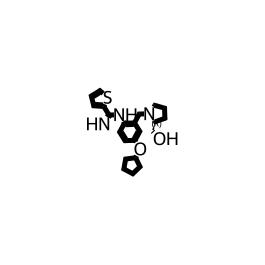 N=C(Nc1ccc(OC2CCCC2)cc1CN1CCC[C@@H]1CO)c1cccs1